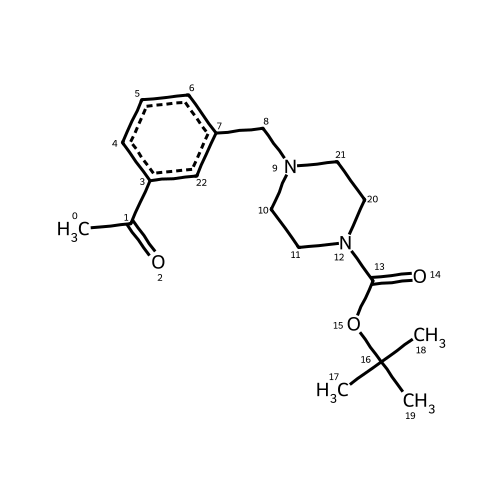 CC(=O)c1cccc(CN2CCN(C(=O)OC(C)(C)C)CC2)c1